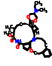 CCN(C)[C@H]1CO[C@H]([C@H]2CCC[C@H](C)[C@@H](C)S(=O)(=O)NC(=O)c3ccc4c(c3)N(CCCCc3cc(Cl)ccc3CCO4)C[C@@H]3CC[C@H]32)OC1